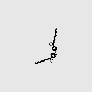 CCCCCCCCCC(=O)c1ccc(Sc2ccc(C(=O)CCCCCCCCC)cc2)cc1